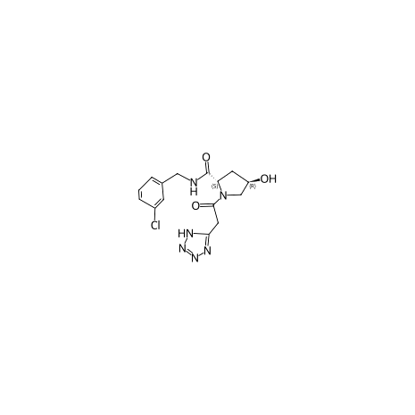 O=C(NCc1cccc(Cl)c1)[C@@H]1C[C@@H](O)CN1C(=O)Cc1nnn[nH]1